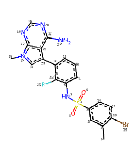 Cc1cc(S(=O)(=O)Nc2cccc(-c3cn(C)c4ncnc(N)c34)c2F)ccc1Br